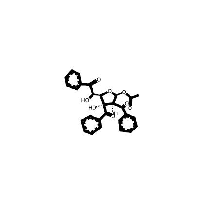 CC(=O)O[C@@H]1O[C@H](C(O)C(=O)c2ccccc2)[C@](O)(C(=O)c2ccccc2)[C@]1(O)C(=O)c1ccccc1